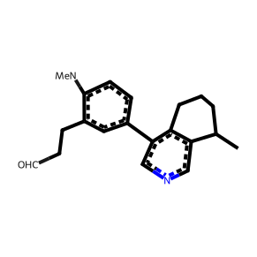 CNc1ccc(-c2cncc3c2CCCC3C)cc1CCC=O